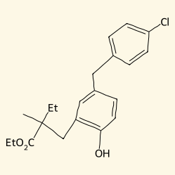 CCOC(=O)C(C)(CC)Cc1cc(Cc2ccc(Cl)cc2)ccc1O